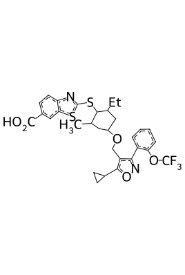 CCC1CC(OCc2c(-c3ccccc3OC(F)(F)F)noc2C2CC2)CC(C)C1Sc1nc2ccc(C(=O)O)cc2s1